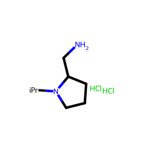 CC(C)N1CCCC1CN.Cl.Cl